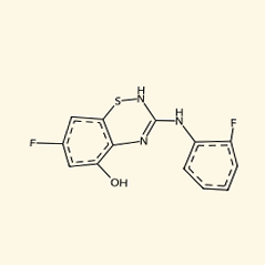 Oc1cc(F)cc2c1N=C(Nc1ccccc1F)NS2